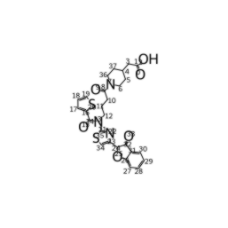 O=C(O)CC1CCN(C(=O)CCCN(C(=O)c2cccs2)c2nc(C3Oc4ccccc4C3=O)cs2)CC1